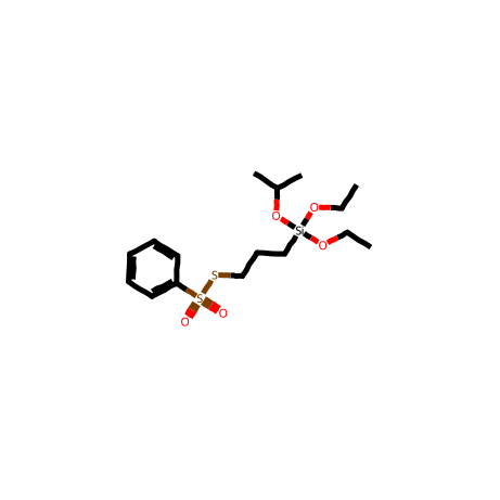 CCO[Si](CCCSS(=O)(=O)c1ccccc1)(OCC)OC(C)C